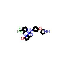 O=c1ccc2cnc(Nc3ccc(OC4CCCNC4)cc3)nc2n1Cc1ccccc1C(F)(F)F